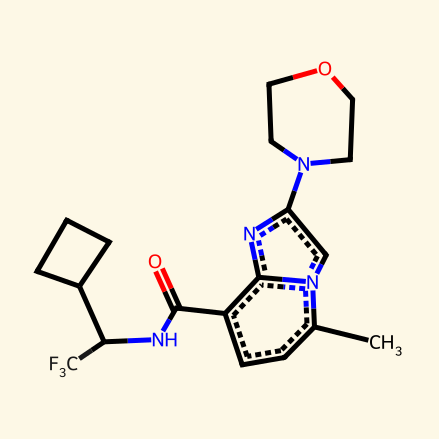 Cc1ccc(C(=O)NC(C2CCC2)C(F)(F)F)c2nc(N3CCOCC3)cn12